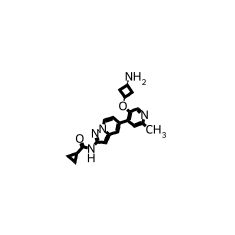 Cc1cc(-c2ccn3nc(NC(=O)C4CC4)cc3c2)c(O[C@H]2C[C@@H](N)C2)cn1